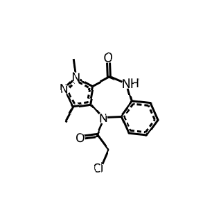 Cc1nn(C)c2c1N(C(=O)CCl)c1ccccc1NC2=O